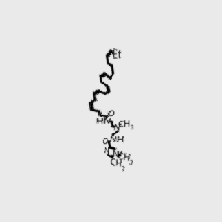 CC/C=C\C/C=C\C/C=C\C/C=C\C/C=C\C/C=C\CCC(=O)NCCN(C)CCNC(=O)c1c[n+](C)c(C)cn1